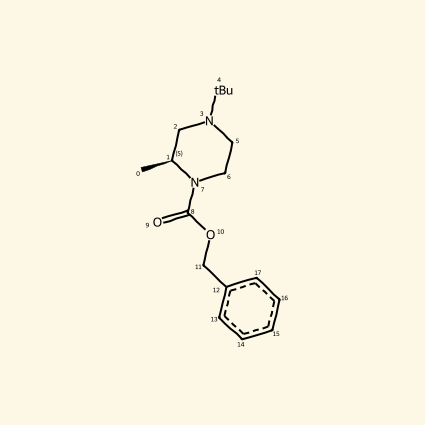 C[C@H]1CN(C(C)(C)C)CCN1C(=O)OCc1ccccc1